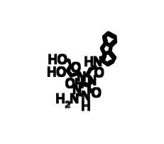 Nc1nc2c(nc(CC(=O)Nc3cccc4c3Cc3ccccc3-4)n2[C@@H]2O[C@H](CO)[C@@H](O)[C@H]2O)c(=O)[nH]1